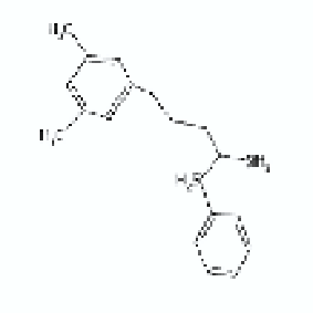 Cc1cc(C)cc(CCCC([SiH3])[SiH2]c2ccccc2)c1